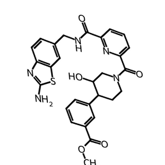 COC(=O)c1cccc(C2CCN(C(=O)c3cccc(C(=O)NCc4ccc5nc(N)sc5c4)n3)CC2O)c1